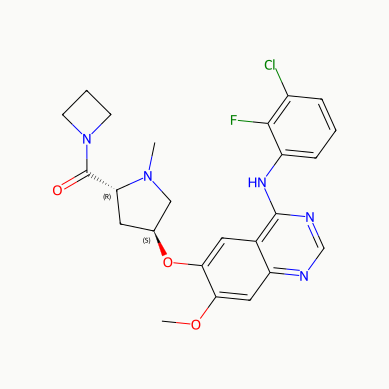 COc1cc2ncnc(Nc3cccc(Cl)c3F)c2cc1O[C@H]1C[C@H](C(=O)N2CCC2)N(C)C1